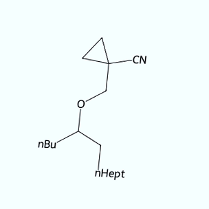 CCCCCCCCC(CCCC)OCC1(C#N)CC1